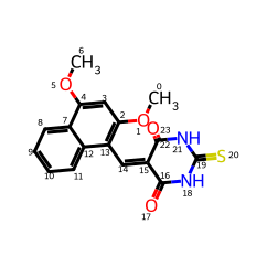 COc1cc(OC)c2ccccc2c1C=C1C(=O)NC(=S)NC1=O